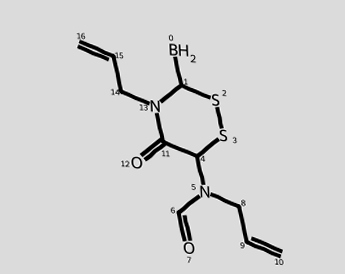 BC1SSC(N(C=O)CC=C)C(=O)N1CC=C